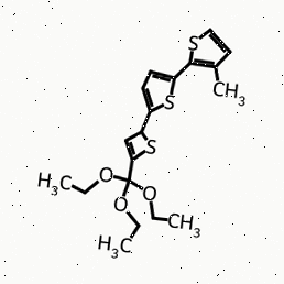 CCOC(OCC)(OCC)C1=CC(c2ccc(-c3sccc3C)s2)S1